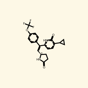 O=C1CC[C@H](C=C(c2ccc(OC(F)(F)F)cc2)c2ccc(C3CC3)c(=O)[nH]2)N1